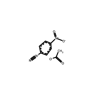 CC(=O)[O-].N#[N+]c1ccc([N+](=O)[O-])cc1